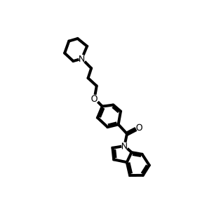 O=C(c1ccc(OCCCN2CCCCC2)cc1)n1ccc2ccccc21